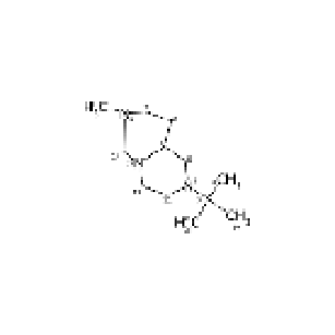 CN1CCC2CN(C(C)(C)C)CCN2C1